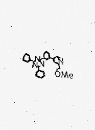 COCCc1cc(-c2cccc(-c3nc(-c4ccccc4)nc(-c4ccccc4)n3)c2)ccn1